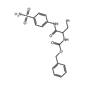 CC(C)CC(NC(=O)OCc1ccccc1)C(=O)Nc1ccc(S(N)(=O)=O)cc1